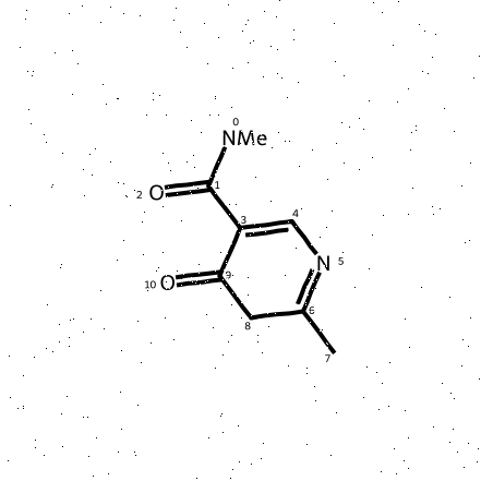 CNC(=O)C1=CN=C(C)CC1=O